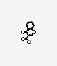 O=C(Cl)c1coc2ccccc2c1=O